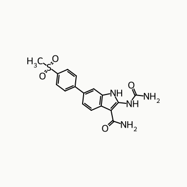 CS(=O)(=O)c1ccc(-c2ccc3c(C(N)=O)c(NC(N)=O)[nH]c3c2)cc1